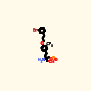 NC(CO)(CCc1ccc(OCCCc2cccc(Br)c2)c(C(F)(F)F)c1)COP=O